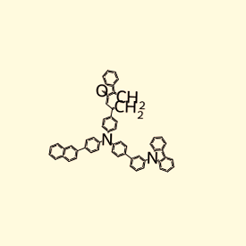 C=C(/C=c1/oc2ccccc2c1=C)c1ccc(N(c2ccc(-c3cccc(-n4c5ccccc5c5ccccc54)c3)cc2)c2ccc(-c3ccc4ccccc4c3)cc2)cc1